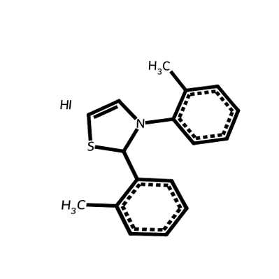 Cc1ccccc1C1SC=CN1c1ccccc1C.I